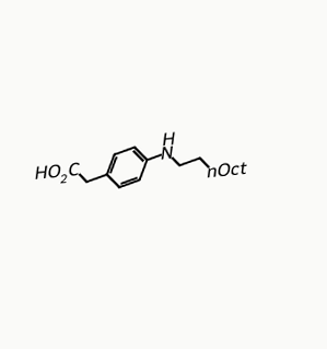 CCCCCCCCCCNc1ccc(CC(=O)O)cc1